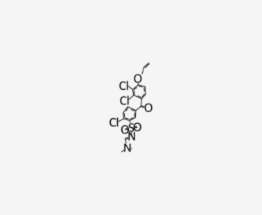 C=CCOc1ccc(C(=O)c2ccc(Cl)c(S(=O)(=O)N=CN(C)C)c2)c(Cl)c1Cl